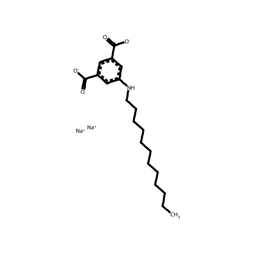 CCCCCCCCCCCCNc1cc(C(=O)[O-])cc(C(=O)[O-])c1.[Na+].[Na+]